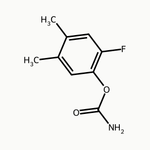 Cc1cc(F)c(OC(N)=O)cc1C